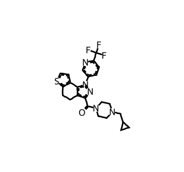 O=C(c1nn(-c2ccc(C(F)(F)F)nc2)c2c1CCc1sccc1-2)N1CCN(CC2CC2)CC1